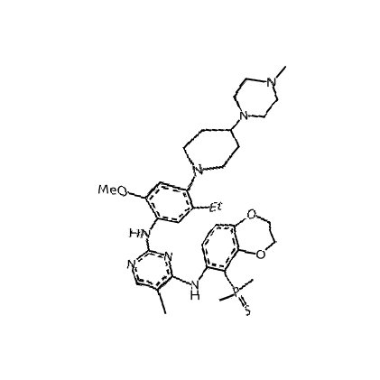 CCc1cc(Nc2ncc(C)c(Nc3ccc4c(c3P(C)(C)=S)OCCO4)n2)c(OC)cc1N1CCC(N2CCN(C)CC2)CC1